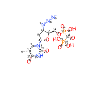 Cc1cn([C@H]2CC(N=[N+]=[N-])[C@@H](COP(=O)(O)C(=O)P(=O)(O)O)O2)c(=O)[nH]c1=O